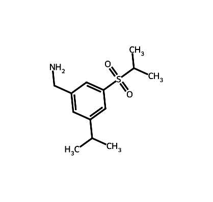 CC(C)c1cc(CN)cc(S(=O)(=O)C(C)C)c1